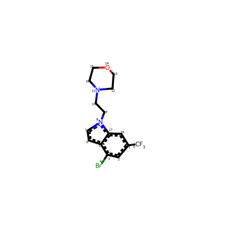 FC(F)(F)c1cc(Br)c2ccn(CCN3CCOCC3)c2c1